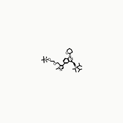 CC(C)[Si](C#Cc1nn(C2CCCCO2)c2ccc(-c3cnn(C)c3COCCO[Si](C)(C)C(C)(C)C)cc12)(C(C)C)C(C)C